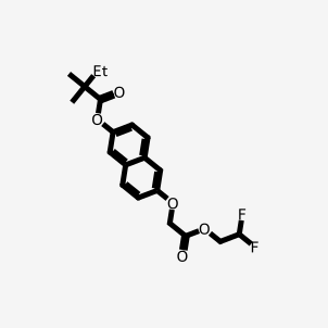 CCC(C)(C)C(=O)Oc1ccc2cc(OCC(=O)OCC(F)F)ccc2c1